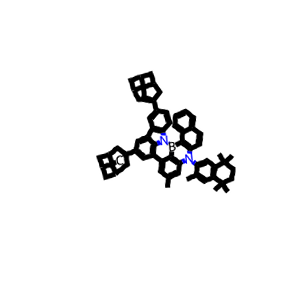 Cc1cc2c3c(c1)N(c1cc4c(cc1C)C(C)(C)CCC4(C)C)c1ccc4ccccc4c1B3n1c3ccc(C45CC6CC7CC(C4)C76C5)cc3c3cc(C45CC6CC7CC(C4)C76C5)cc-2c31